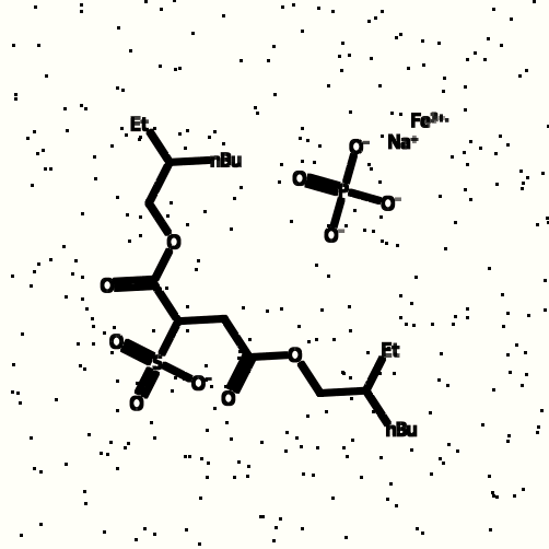 CCCCC(CC)COC(=O)CC(C(=O)OCC(CC)CCCC)S(=O)(=O)[O-].O=P([O-])([O-])[O-].[Fe+3].[Na+]